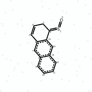 O=S=C1CC=Cc2cc3ccccc3cc21